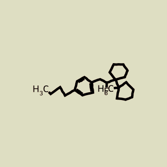 CCCCc1ccc(CC(F)C2(C3(C)CCCCC3)CCCCC2)cc1